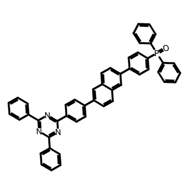 O=P(c1ccccc1)(c1ccccc1)c1ccc(-c2ccc3cc(-c4ccc(-c5nc(-c6ccccc6)nc(-c6ccccc6)n5)cc4)ccc3c2)cc1